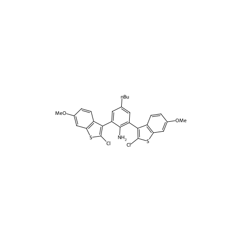 CCCCc1cc(-c2c(Cl)sc3cc(OC)ccc23)c(N)c(-c2c(Cl)sc3cc(OC)ccc23)c1